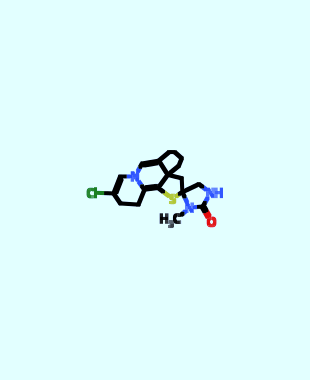 CN1C(=O)NCC12CC13CCCCC1=CN1C=C(Cl)CCC1=C3S2